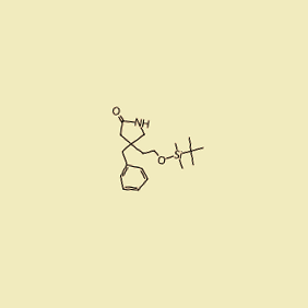 CC(C)(C)[Si](C)(C)OCCC1(Cc2ccccc2)CNC(=O)C1